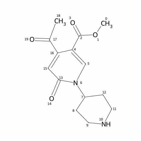 COC(=O)c1cn(C2CCNCC2)c(=O)cc1C(C)=O